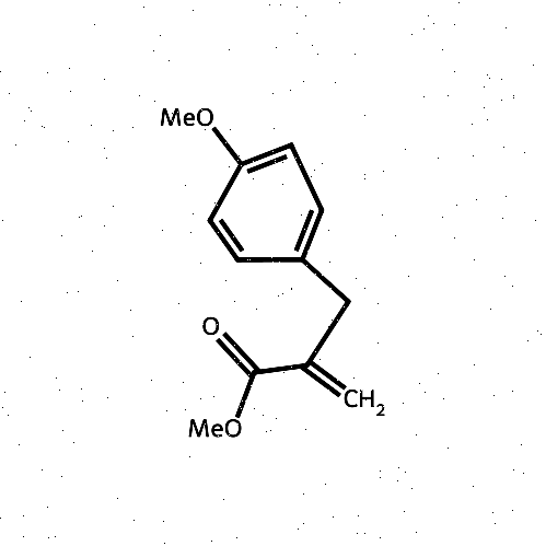 C=C(Cc1ccc(OC)cc1)C(=O)OC